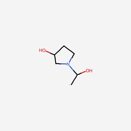 [CH2]C(O)N1CCC(O)C1